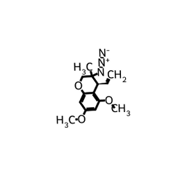 C=C[C@H]1c2c(OC)cc(OC)cc2OCC1(C)N=[N+]=[N-]